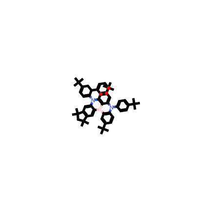 CC(C)(C)C1=CC=C(N2c3cc4c(cc3B3c5cc(C(C)(C)C)ccc5N(c5ccc(C(C)(C)C)cc5)c5cc(C(C)(C)C)cc2c53)C(C)(C)CC4(C)C)C(c2ccccc2)C1